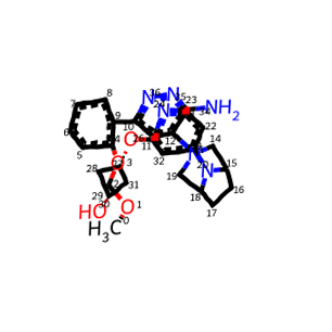 COCOc1ccccc1-c1cc(N2CC3CCC(C2)N3c2ccnc(O[C@H]3C[C@@H](O)C3)c2)c(N)nn1